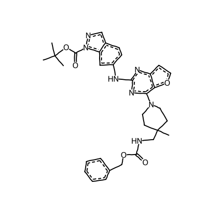 CC1(CNC(=O)OCc2ccccc2)CCN(c2nc(Nc3ccc4cnn(C(=O)OC(C)(C)C)c4c3)nc3ccoc23)CC1